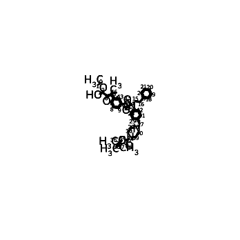 CCOC(O)c1oc2ccc(S(=O)(=O)N(CCc3ccccc3)c3ccc(CN4CCN(C(=O)OC(C)(C)C)CC4)cc3)cc2c1C